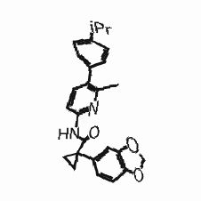 Cc1nc(NC(=O)C2(c3ccc4c(c3)OCO4)CC2)ccc1-c1ccc(C(C)C)cc1